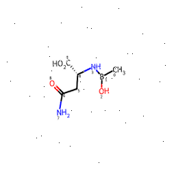 CB(O)N[C@H](CC(N)=O)C(=O)O